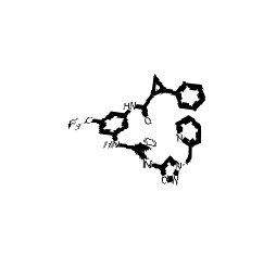 O=C([N-]c1c[n+](Cc2ccccn2)no1)Nc1cc(NC(=O)C2CC2c2ccccc2)cc(C(F)(F)F)c1